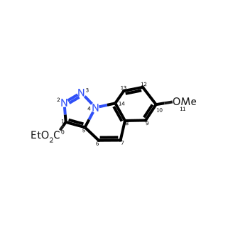 CCOC(=O)c1nnn2c1ccc1cc(OC)ccc12